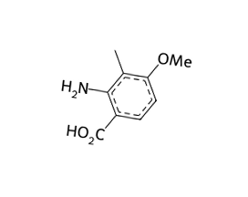 COc1ccc(C(=O)O)c(N)c1C